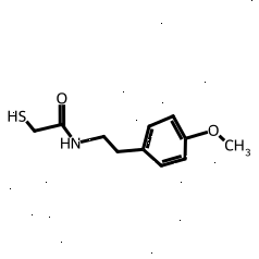 COc1ccc(CCNC(=O)CS)cc1